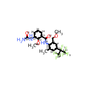 COCc1cc(C(F)(C(F)(F)F)C(F)(F)F)cc(C)c1NC(=O)c1cccc(NC(N)=O)c1OC